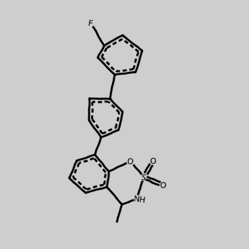 CC1NS(=O)(=O)Oc2c(-c3ccc(-c4cccc(F)c4)cc3)cccc21